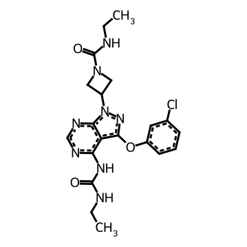 CCNC(=O)Nc1ncnc2c1c(Oc1cccc(Cl)c1)nn2C1CN(C(=O)NCC)C1